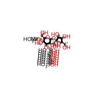 O=S(=O)(O)O.O=S(=O)(O)O.O=S(=O)(O)O.O=S(=O)(O)O.O=S(=O)(O)O.O=S(=O)(O)O.O=S(=O)(O)O.O=S(=O)(O)O.OC[C@H]1O[C@@](CO)(O[C@H]2O[C@H](CO)[C@@H](O)[C@H](O)[C@H]2O)[C@@H](O)[C@@H]1O.[Na]